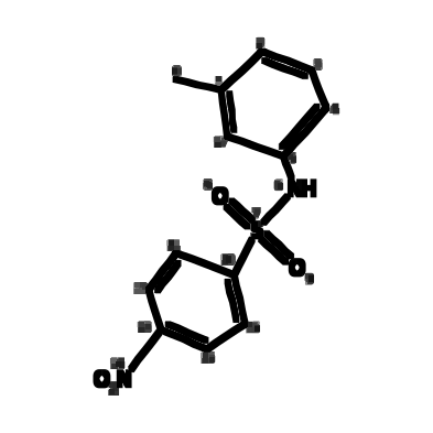 Cc1cccc(NS(=O)(=O)c2ccc([N+](=O)[O-])cc2)c1